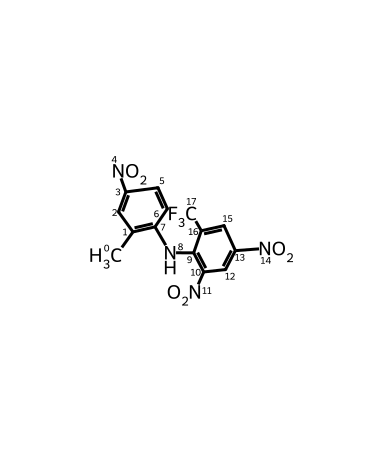 Cc1cc([N+](=O)[O-])ccc1Nc1c([N+](=O)[O-])cc([N+](=O)[O-])cc1C(F)(F)F